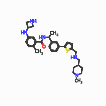 Cc1ccc(NC2CNC2)cc1C(=O)NC(C)c1cccc(-c2ccc(CNCC3CCN(C)CC3)s2)c1